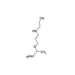 CCCCCCC(C)OCCCNCCC#N